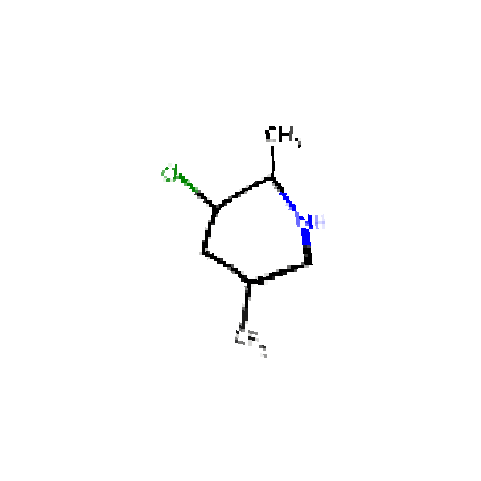 CC1NCC(C(F)(F)F)CC1Cl